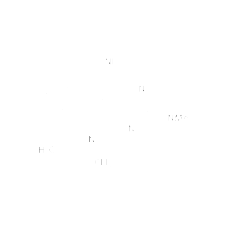 CNc1nc(N(C)C(C)C2CC2)c2cc[nH]c2n1